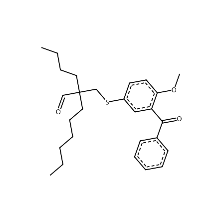 CCCCCCC(C=O)(CCCC)CSc1ccc(OC)c(C(=O)c2ccccc2)c1